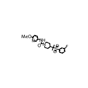 COc1ccc(NC(=O)N2CCC(C(C)(C)S(=O)(=O)c3cccc(F)c3)CC2)cn1